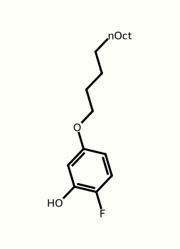 CCCCCCCCCCCCOc1ccc(F)c(O)c1